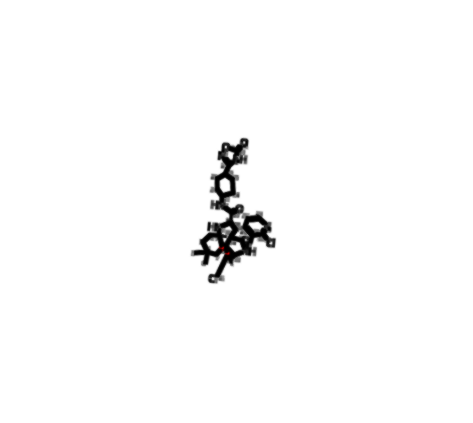 CC1(C)CCC2(CC1)N[C@@H](C(=O)NC1CCC(c3noc(=O)[nH]3)CC1)[C@H](c1ccnc(Cl)c1F)[C@]21C(=O)Nc2cc(Cl)ccc21